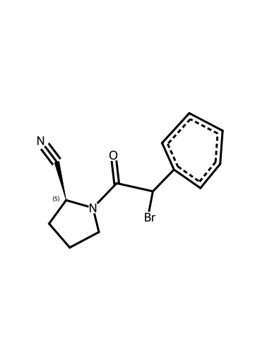 N#C[C@@H]1CCCN1C(=O)C(Br)c1ccccc1